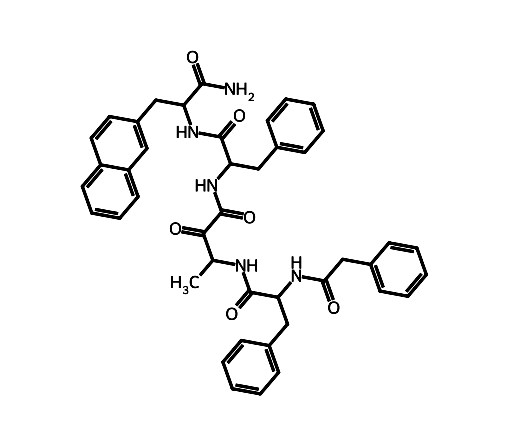 CC(NC(=O)C(Cc1ccccc1)NC(=O)Cc1ccccc1)C(=O)C(=O)NC(Cc1ccccc1)C(=O)NC(Cc1ccc2ccccc2c1)C(N)=O